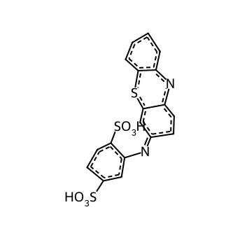 O=S(=O)(O)c1ccc(S(=O)(=O)O)c(/N=c2/ccc3nc4ccccc4sc-3c2)c1